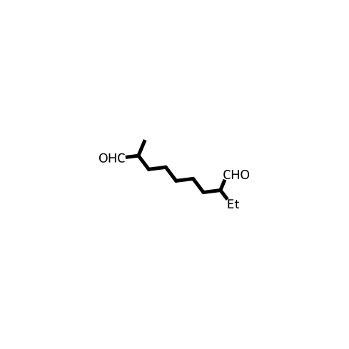 CCC(C=O)CCCCCC(C)C=O